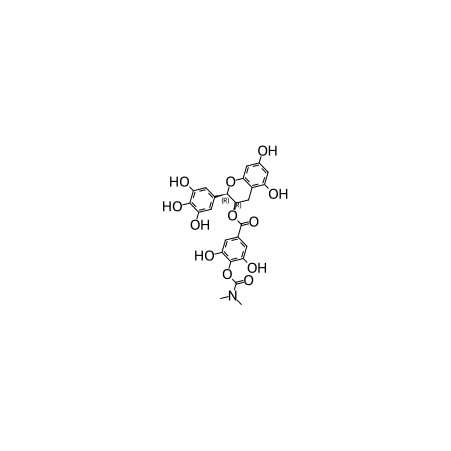 CN(C)C(=O)Oc1c(O)cc(C(=O)O[C@@H]2Cc3c(O)cc(O)cc3O[C@@H]2c2cc(O)c(O)c(O)c2)cc1O